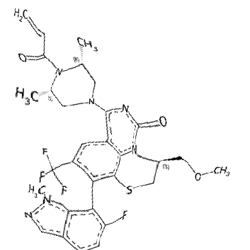 C=CC(=O)N1[C@H](C)CN(c2nc(=O)n3c4c(c(-c5c(F)ccc6cnn(C)c56)c(C(F)(F)F)cc24)SC[C@@H]3COC)C[C@@H]1C